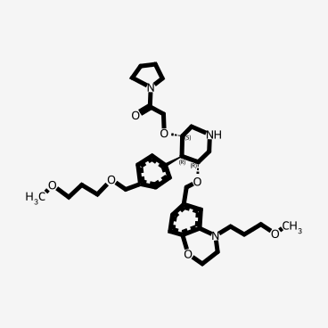 COCCCOCc1ccc([C@@H]2[C@@H](OCc3ccc4c(c3)N(CCCOC)CCO4)CNC[C@H]2OCC(=O)N2CCCC2)cc1